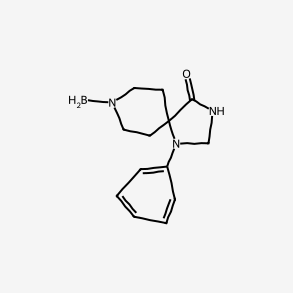 BN1CCC2(CC1)C(=O)NCN2c1ccccc1